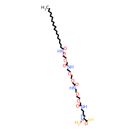 CCCCCCCCCCCCCCCCCCCC(=O)NOCCOCC(=O)NCCOCCOCC(=O)NCCOCCOCC(=O)NCCCC[C@H](NP)C(=O)S